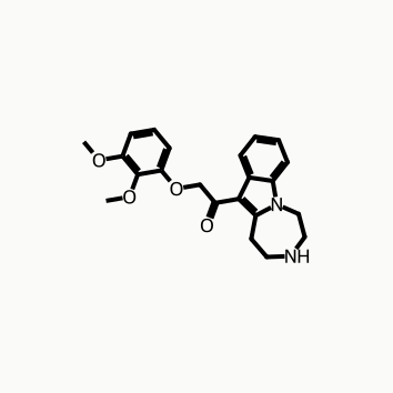 COc1cccc(OCC(=O)c2c3n(c4ccccc24)CCNCC3)c1OC